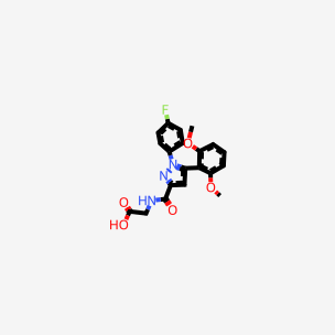 COc1cccc(OC)c1-c1cc(C(=O)NCC(=O)O)nn1-c1ccc(F)cc1